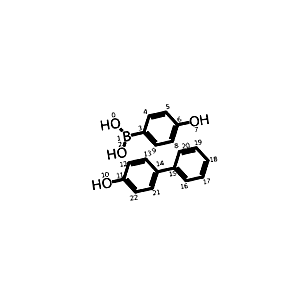 OB(O)c1ccc(O)cc1.Oc1ccc(-c2ccccc2)cc1